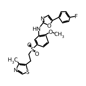 COc1ccc(S(=O)(=O)CCc2scnc2C)cc1Nc1ncc(-c2ccc(F)cc2)o1